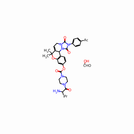 CC(=O)c1ccc(-n2c(=O)n3n(c2=O)C2C(=CC3)C(C)(C)Oc3cc(OC(=O)N4CCN(C(=O)C(N)C(C)C)CC4)ccc32)cc1.O=CO